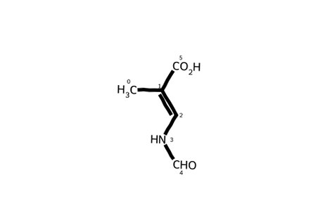 CC(=CNC=O)C(=O)O